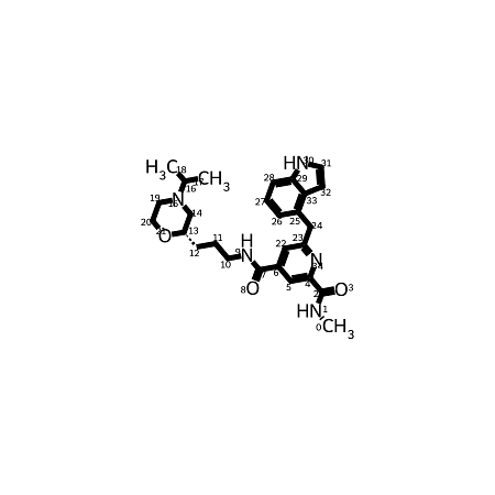 CNC(=O)c1cc(C(=O)NCCC[C@H]2CN(C(C)C)CCO2)cc(Cc2cccc3[nH]ccc23)n1